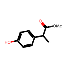 [CH2]C(C(=O)OC)c1ccc(O)cc1